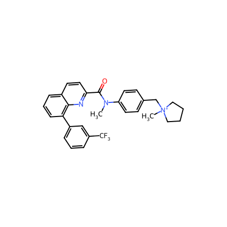 CN(C(=O)c1ccc2cccc(-c3cccc(C(F)(F)F)c3)c2n1)c1ccc(C[N+]2(C)CCCC2)cc1